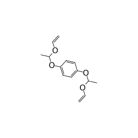 C=COC(C)Oc1ccc(OC(C)OC=C)cc1